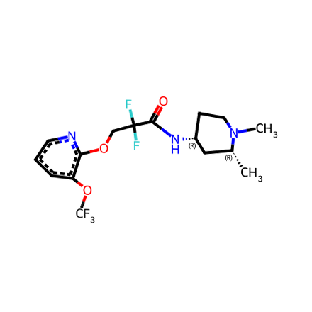 C[C@@H]1C[C@H](NC(=O)C(F)(F)COc2ncccc2OC(F)(F)F)CCN1C